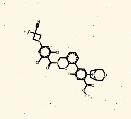 COC(=O)c1cc(F)c(-c2cccc3c2OCN(C(=O)c2c(Cl)cc(N4CC(C)(C#N)C4)cc2Cl)C3)cc1N1C2CCC1COC2